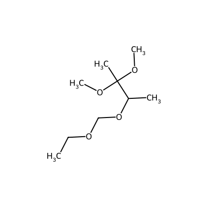 CCOCOC(C)C(C)(OC)OC